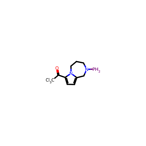 O=C(c1ccc2n1CCCN(P)C2)C(Cl)(Cl)Cl